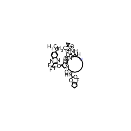 COc1ccc2nc(C(F)(F)F)c(O[C@@H]3C[C@H]4C(=O)N[C@]5(C(=O)NS(=O)(=O)C6(C)CC6)C[C@H]5/C=C\CCCCC[C@H](NC(=O)O[C@@H]5CCC[C@H]5F)C(=O)N4C3)nc2c1